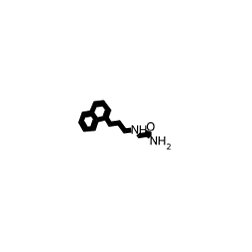 NC(=O)CNCCCc1cccc2ccccc12